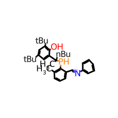 CCCCC(C)(Pc1c(C)cccc1/C=N/c1ccccc1)c1cc(C(C)(C)C)cc(C(C)(C)C)c1O